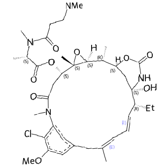 CC[C@@H]1/C=C/C=C(\C)Cc2cc(OC)c(Cl)c(c2)N(C)C(=O)C[C@H](OC(=O)[C@H](C)N(C)C(=O)CCNC)[C@]2(C)O[C@H]2[C@H](C)[C@@H]2C[C@@]1(O)NC(=O)O2